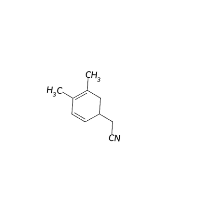 CC1=C(C)CC(CC#N)C=C1